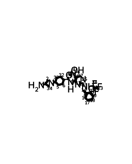 NC1CN([C@H]2CC[C@H](CNc3nc(NCc4ccccc4OC(F)(F)F)ncc3[N+](=O)O)CC2)C1